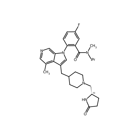 Cc1cncc2c1c(CC1CCN(C[C@@H]3CCC(=O)N3)CC1)cn2-c1ccc(F)cc1C(=O)N(C)C(C)C